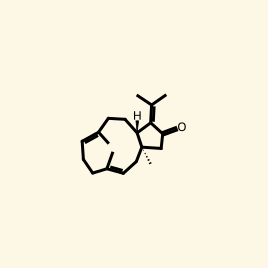 CC(C)=C1C(=O)C[C@@]2(C)C/C=C(\C)CC/C=C(\C)CC[C@H]12